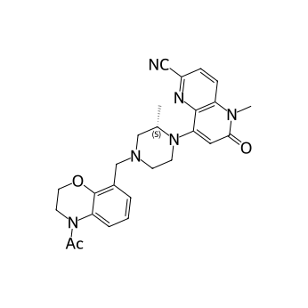 CC(=O)N1CCOc2c(CN3CCN(c4cc(=O)n(C)c5ccc(C#N)nc45)[C@@H](C)C3)cccc21